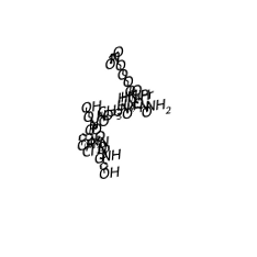 Cc1cccc2c(OC(=O)N(CCOCCO)CCN(C)C(=O)OCc3ccc(NC(=O)[C@H](CCCNC(N)=O)NC(=O)[C@@H](NC(=O)OCCOCCOCCOCCN4C(=O)C=CC4=O)C(C)C)cc3)cc3c(c12)[C@H](CCl)CN3C(=O)c1cn2cc(NC(=O)c3ccc(O)cc3)ccc2n1